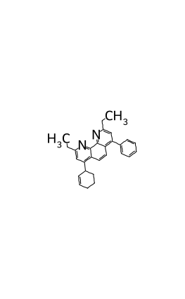 CCc1cc(-c2ccccc2)c2ccc3c(C4C=CCCC4)cc(CC)nc3c2n1